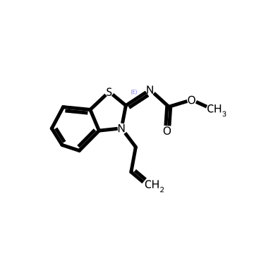 C=CCn1/c(=N\C(=O)OC)sc2ccccc21